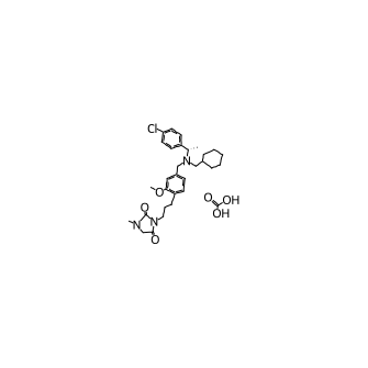 COc1cc(CN(CC2CCCCC2)[C@@H](C)c2ccc(Cl)cc2)ccc1CCCN1C(=O)CN(C)C1=O.O=C(O)O